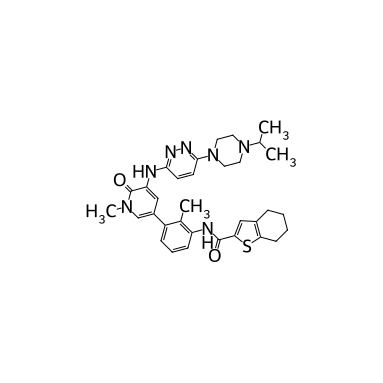 Cc1c(NC(=O)c2cc3c(s2)CCCC3)cccc1-c1cc(Nc2ccc(N3CCN(C(C)C)CC3)nn2)c(=O)n(C)c1